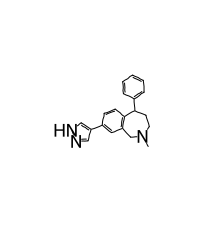 CN1CCC(c2ccccc2)c2ccc(-c3cn[nH]c3)cc2C1